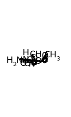 CCOc1c(OCc2cccc(OC)c2)ccnc1OC(=O)NC(=O)CN